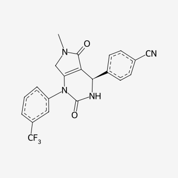 CN1CC2=C(C1=O)[C@@H](c1ccc(C#N)cc1)NC(=O)N2c1cccc(C(F)(F)F)c1